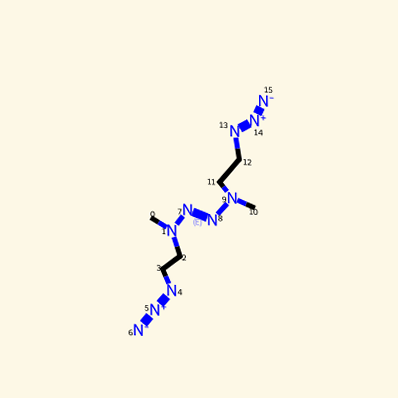 CN(CCN=[N+]=[N-])/N=N/N(C)CCN=[N+]=[N-]